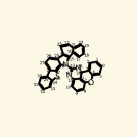 c1ccc2c(c1)Oc1cccc3nc(-n4c5c6ccccc6ccc5c5ccc6c7ccccc7sc6c54)nc-2c13